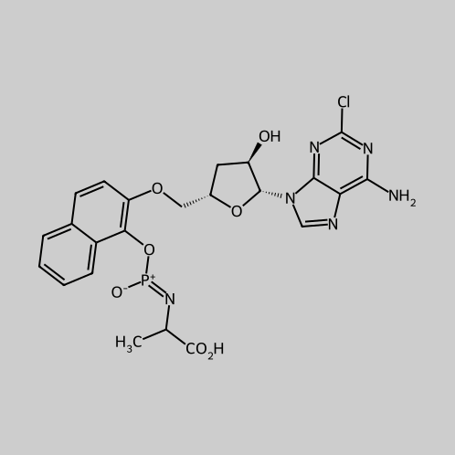 CC(/N=[P+](\[O-])Oc1c(OC[C@@H]2C[C@@H](O)[C@H](n3cnc4c(N)nc(Cl)nc43)O2)ccc2ccccc12)C(=O)O